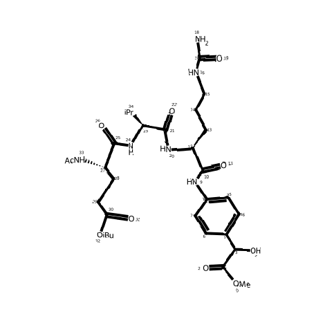 COC(=O)C(O)c1ccc(NC(=O)[C@H](CCCNC(N)=O)NC(=O)[C@@H](NC(=O)[C@H](CCC(=O)OCC(C)C)NC(C)=O)C(C)C)cc1